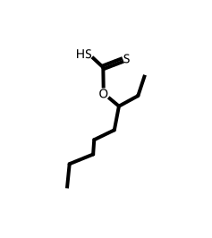 CCCCCC(CC)OC(=S)S